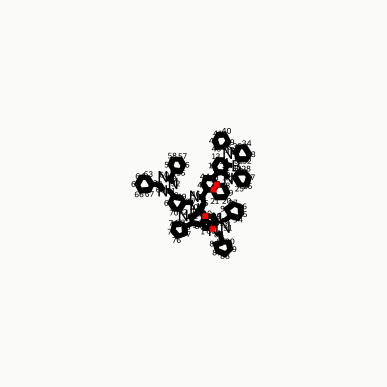 c1ccc(-c2cc(-c3ccc(-c4ccc5c6c4N(c4ccccc4)c4ccccc4B6c4ccccc4N5c4ccccc4)cc3)nc(-c3cc(-c4nc(-c5ccccc5)nc(-c5ccccc5)n4)ccc3-n3c4ccccc4c4cc(-c5nc(-c6ccccc6)nc(-c6ccccc6)n5)ccc43)n2)cc1